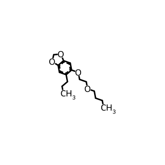 CCCCOCCOc1cc2c(cc1CCC)OCO2